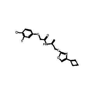 C=C(CCc1nc(C2CCC2)co1)NC(=O)COc1ccc(Cl)c(F)c1